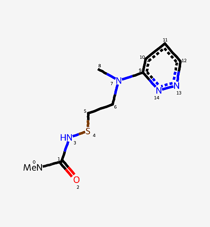 CNC(=O)NSCCN(C)c1cccnn1